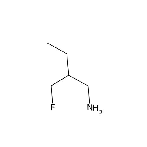 CCC(CN)CF